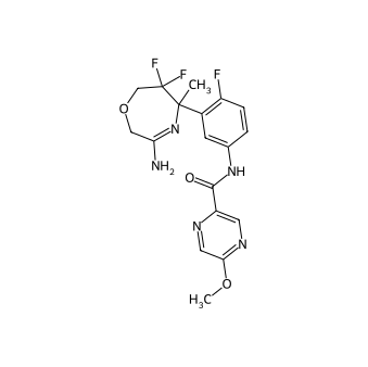 COc1cnc(C(=O)Nc2ccc(F)c(C3(C)N=C(N)COCC3(F)F)c2)cn1